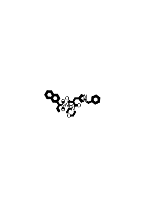 C=CC(c1ccc2ccccc2c1)S(=O)(=O)NC(=O)C(Cc1cnn(Cc2ccccc2)c1)C(=O)N1CCOCC1